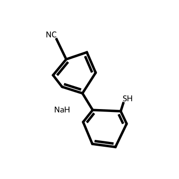 N#Cc1ccc(-c2ccccc2S)cc1.[NaH]